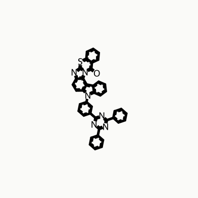 O=c1c2ccccc2sc2nc3ccc4c(c5ccccc5n4-c4cccc(-c5nc(-c6ccccc6)nc(-c6ccccc6)n5)c4)c3n12